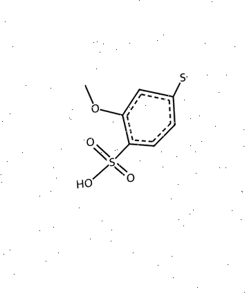 COc1cc([S])ccc1S(=O)(=O)O